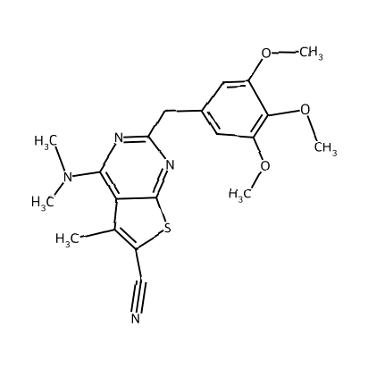 COc1cc(Cc2nc(N(C)C)c3c(C)c(C#N)sc3n2)cc(OC)c1OC